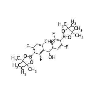 CC1(C)OB(c2c(F)cc(C(O)c3c(C=O)cc(F)c(B4OC(C)(C)C(C)(C)O4)c3F)cc2F)OC1(C)C